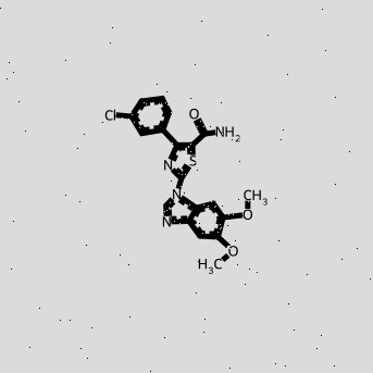 COc1cc2ncn(-c3nc(-c4cccc(Cl)c4)c(C(N)=O)s3)c2cc1OC